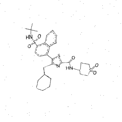 CC(C)(C)NS(=O)(=O)c1ccc(-c2sc(C(=O)NC3CCS(=O)(=O)CC3)nc2CC2CCCCC2)c2ccccc12